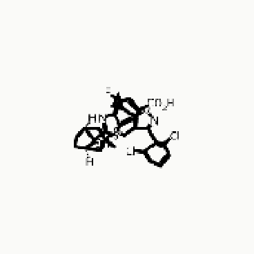 CC1(OCc2c(-c3c(Cl)cccc3Cl)noc2C2CC2)C[C@H]2CC[C@@H](C1)[C@]2(O)c1nc2c(F)cc(C(=O)O)cc2s1